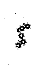 c1ccc2c(c1)sc1cc3ccn(-c4ccc(-c5cccc6c5sc5ccccc56)cc4)c3cc12